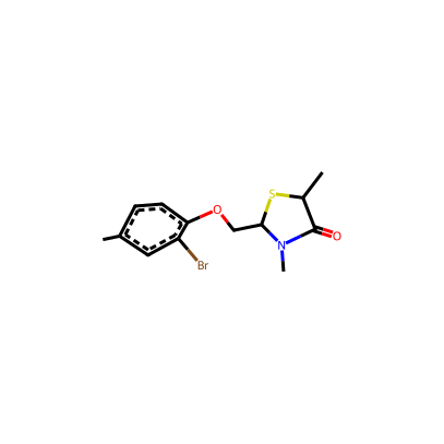 Cc1ccc(OCC2SC(C)C(=O)N2C)c(Br)c1